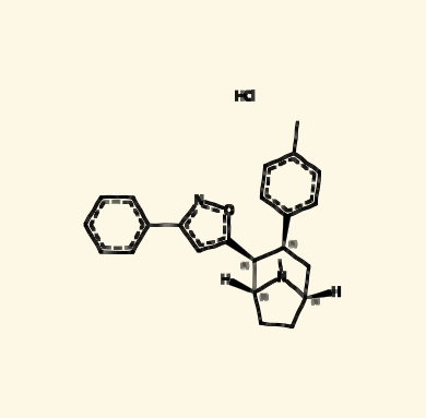 Cc1ccc([C@H]2C[C@@H]3CC[C@H]([C@H]2c2cc(-c4ccccc4)no2)N3C)cc1.Cl